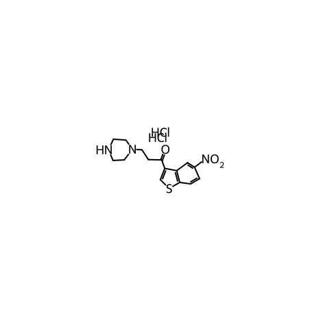 Cl.Cl.O=C(CCN1CCNCC1)c1csc2ccc([N+](=O)[O-])cc12